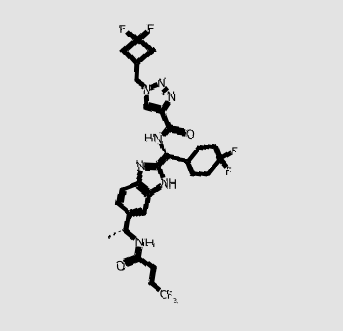 C[C@@H](NC(=O)CCC(F)(F)F)c1ccc2nc([C@@H](NC(=O)c3cn(CC4CC(F)(F)C4)nn3)C3CCC(F)(F)CC3)[nH]c2c1